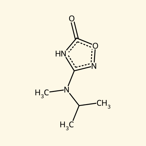 CC(C)N(C)c1noc(=O)[nH]1